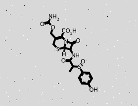 CC(C(=O)NC1C(=O)N2C(C(=O)O)=C(COC(N)=O)CS[C@@H]12)[S+]([O-])c1ccc(O)cc1